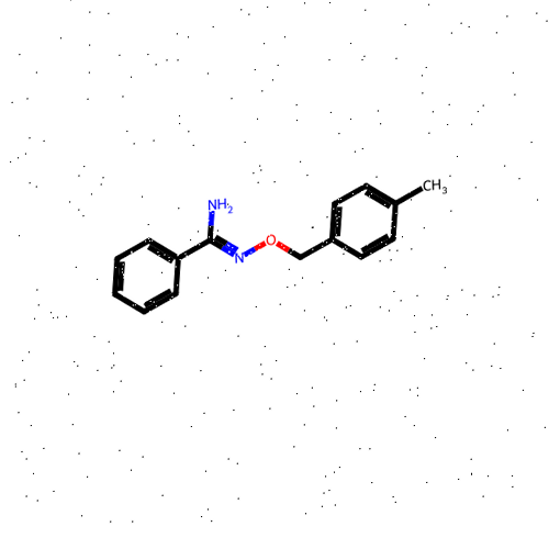 Cc1ccc(CON=C(N)c2ccccc2)cc1